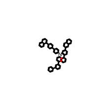 c1ccc(-c2cccc(-c3ccc(N(c4ccc(-c5ccc(-c6cccc7ccccc67)cc5)cc4)c4cc(-c5ccc6ccccc6c5)ccc4-c4ccccc4)cc3)c2)cc1